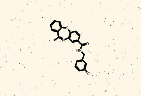 CC1=Nc2cc(C(=O)NCc3cccc(Cl)c3)ccc2Sc2ccccc21